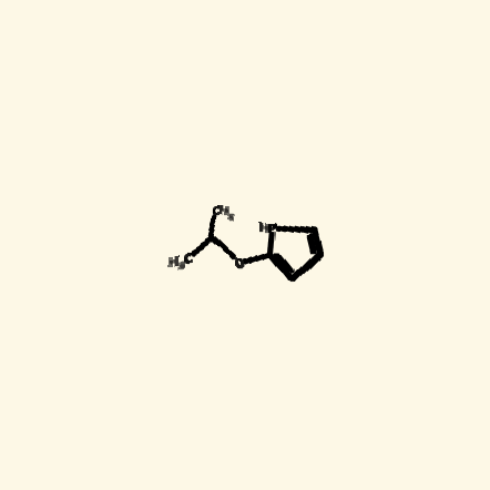 CC(C)Oc1ccc[pH]1